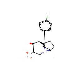 CS(=O)(=O)C1CN2C3CC[C@@H]2C[C@H](c2ccc(Cl)cc2)C3C1=O